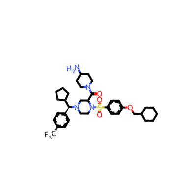 NC1CCN(C(=O)C2CN([C@@H](c3ccc(C(F)(F)F)cc3)C3CCCC3)CCN2S(=O)(=O)c2ccc(OCC3CCCCC3)cc2)CC1